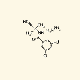 C#CC(C)(C)NC(=O)c1cc(Cl)cc(Cl)c1.N.P